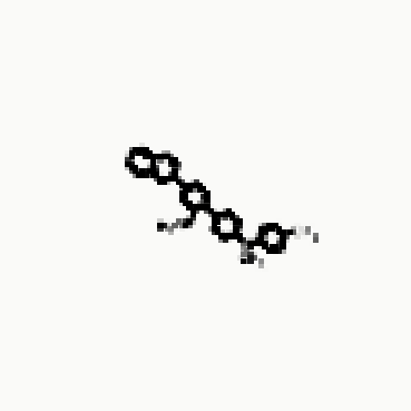 CCc1cc(-c2ccc3ccccc3c2)ccc1-c1ccc(N(C)c2ccc(C)cc2)cc1